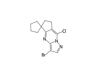 Clc1c2c(nc3c(Br)cnn13)C1(CCCC1)CC2